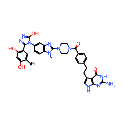 CC(C)c1cc(-c2nnc(O)n2-c2ccc3c(c2)nc(N2CCN(C(=O)c4ccc(CCc5c[nH]c6nc(N)[nH]c(=O)c56)cc4)CC2)n3C)c(O)cc1O